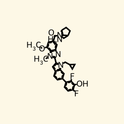 COc1cc(C(=O)N2CC3CCC2C3N)cc2nc(-c3cc4ccc(-c5ccc(F)c(O)c5F)cc4n3CC3CC3)n(C)c12